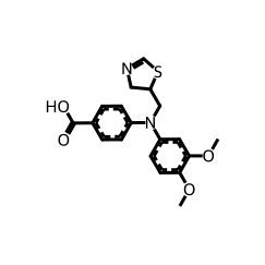 COc1ccc(N(CC2CN=CS2)c2ccc(C(=O)O)cc2)cc1OC